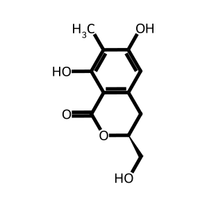 Cc1c(O)cc2c(c1O)C(=O)O[C@H](CO)C2